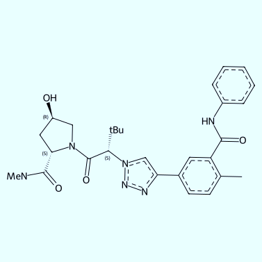 CNC(=O)[C@@H]1C[C@@H](O)CN1C(=O)[C@@H](n1cc(-c2ccc(C)c(C(=O)Nc3ccccc3)c2)nn1)C(C)(C)C